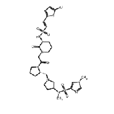 CN(C1CCN(C[C@@H]2CCCN2C(=O)CN2CCC[C@H](NS(=O)(=O)/C=C/c3ccc(Cl)s3)C2=O)C1)S(=O)(=O)c1cn(C)cn1